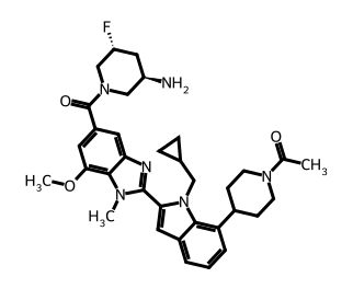 COc1cc(C(=O)N2C[C@H](N)C[C@@H](F)C2)cc2nc(-c3cc4cccc(C5CCN(C(C)=O)CC5)c4n3CC3CC3)n(C)c12